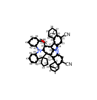 N#Cc1cc2c(c3c1C1CCC3CC1)c1c3c4c(c5c6c7c(c(C#N)cc6n2c15)C1CCC7CC1)C1(CCCC1)c1ccccc1N4c1ccccc1C31CCCC1